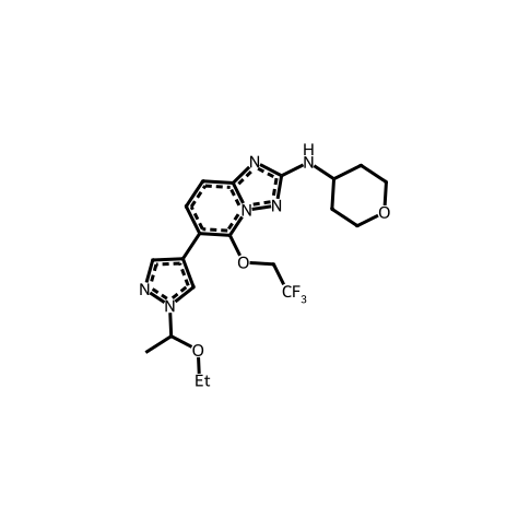 CCOC(C)n1cc(-c2ccc3nc(NC4CCOCC4)nn3c2OCC(F)(F)F)cn1